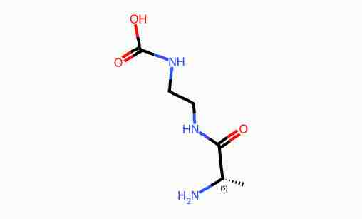 C[C@H](N)C(=O)NCCNC(=O)O